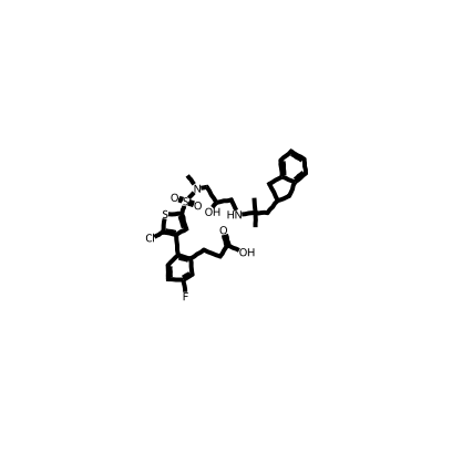 CN(CC(O)CNC(C)(C)CC1Cc2ccccc2C1)S(=O)(=O)c1cc(-c2ccc(F)cc2CCC(=O)O)c(Cl)s1